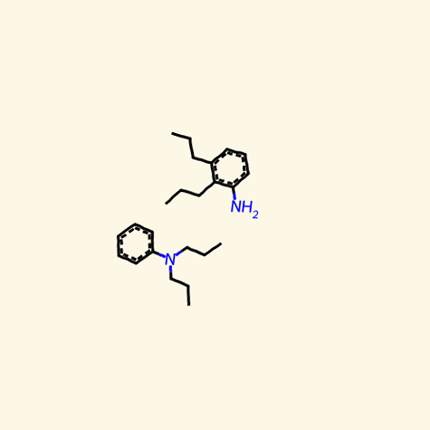 CCCN(CCC)c1ccccc1.CCCc1cccc(N)c1CCC